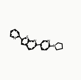 c1ccc(-c2cc3ccc(-c4ccc(N5CCCC5)nc4)nc3s2)nc1